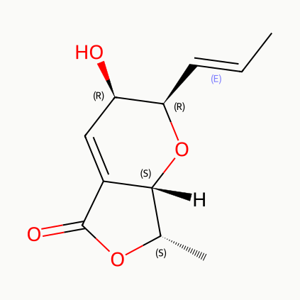 C/C=C/[C@H]1O[C@H]2C(=C[C@H]1O)C(=O)O[C@H]2C